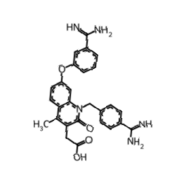 Cc1c(CC(=O)O)c(=O)n(Cc2ccc(C(=N)N)cc2)c2cc(Oc3cccc(C(=N)N)c3)ccc12